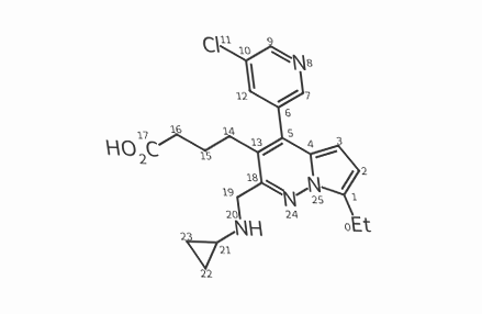 CCc1ccc2c(-c3cncc(Cl)c3)c(CCCC(=O)O)c(CNC3CC3)nn12